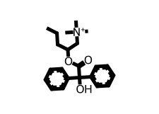 CCCC(C[N+](C)(C)C)OC(=O)C(O)(c1ccccc1)c1ccccc1